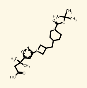 CC(C)(C)OC(=O)N1CCC(CC2CN(c3cc(C(C)(C)CC(=O)O)on3)C2)CC1